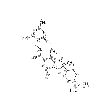 CCCc1cc(C)[nH]c(=O)c1CNC(=O)c1cc(Br)c2c(c1C)OC(C)(C1CCC(N(C)C)CC1)O2